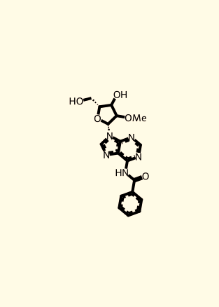 COC1C(O)[C@@H](CO)O[C@H]1n1cnc2c(NC(=O)c3ccccc3)ncnc21